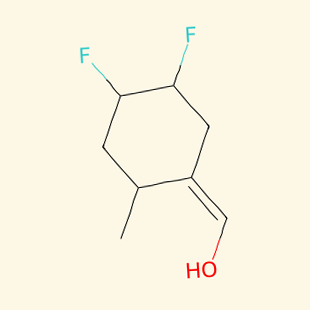 CC1CC(F)C(F)C/C1=C/O